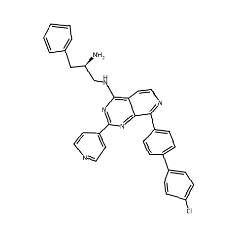 N[C@@H](CNc1nc(-c2ccncc2)nc2c(-c3ccc(-c4ccc(Cl)cc4)cc3)nccc12)Cc1ccccc1